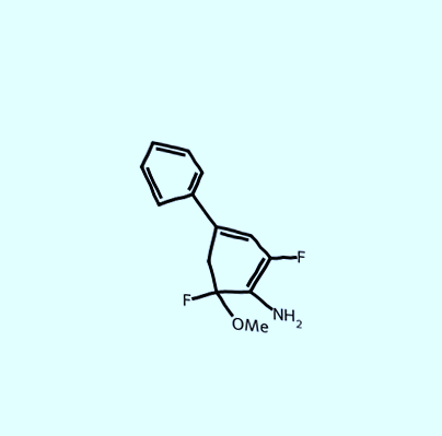 COC1(F)CC(c2ccccc2)=CC(F)=C1N